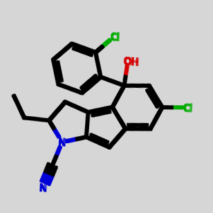 CCC1CC2=C3C(=CC(Cl)=CC3(O)c3ccccc3Cl)C=C2N1C#N